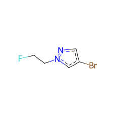 FCCn1cc(Br)cn1